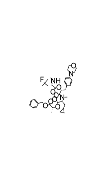 CN[C@@H](CC(C)(C)F)C(=O)O[C@H](Cc1ccc(N2CCOCC2)cc1)C(=O)N(C)[C@@H](CC1CC1)C(=O)O[C@H](C)C(=O)OCc1ccccc1